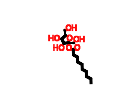 CCCCCCCCCC(=O)O[C@@]1(CO)O[C@H](CO)[C@@H](O)[C@@H]1O